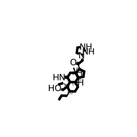 CCC[C@@H]1CC[C@@H]2C(C(=N)C[C@]3(C)[C@@H](C(=O)CN4CCNN4)CC[C@@H]23)[C@]1(CC)CO